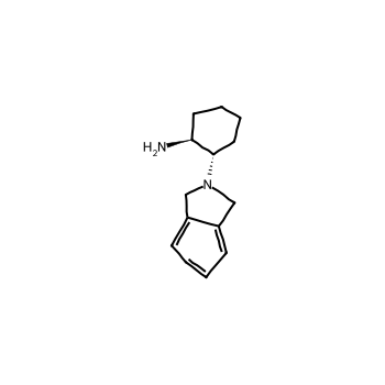 N[C@H]1CCCC[C@@H]1N1Cc2ccccc2C1